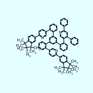 CC1(C)c2ccc(-c3ccc(-c4ccccc4-c4cc(-c5ccccc5-c5ccc(-c6ccc7c(c6)C(C)(C)C(C)(C)C7(C)C)nc5)cc(-c5ccccc5-c5cnc(-c6ccccc6)cc5-c5ccccc5)c4)cn3)cc2C(C)(C)C1(C)C